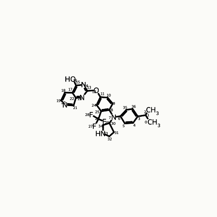 CC(C)c1ccc(N(c2ccc(Oc3nc(O)c4ccncc4n3)cc2C(F)(F)F)C2CCNC2)cc1